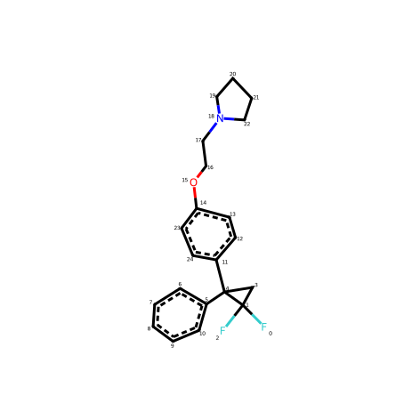 FC1(F)CC1(c1ccccc1)c1ccc(OCCN2CCCC2)cc1